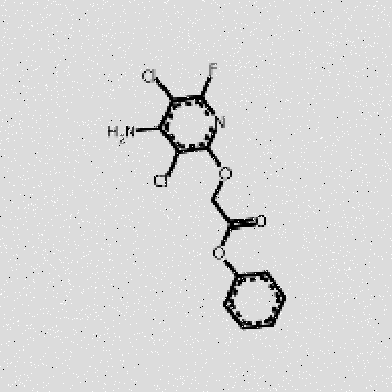 Nc1c(Cl)c(F)nc(OCC(=O)Oc2ccccc2)c1Cl